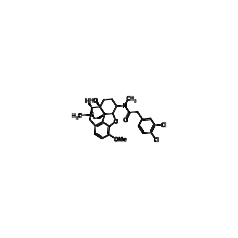 COc1ccc2c3c1OC1C(N(C)C(=O)Cc4ccc(Cl)c(Cl)c4)CC[C@@]4(O)[C@@H](C2)N(C)CC[C@]314